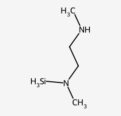 CNCCN(C)[SiH3]